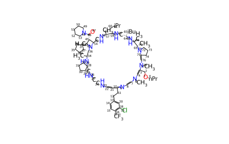 CCCOCC1=CN(C)C=CN=C(CCc2ccc(C(F)(F)F)c(Cl)c2)C=CNCCNCC2(CCCC2)NC(C)[C@H](C2CCCC2)N2C(C)[C@H](C(=O)N3CCCCC3)C2CNC(C)[C@H](CC(C)C)NC[C@H]([C@@H](C)CC)NC(C)[C@H](C)N2CCCC2=CN1C